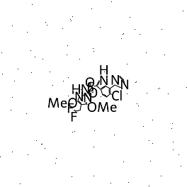 COc1nc(NS(=O)(=O)c2c[nH]c3c(-c4cnccn4)c(Cl)ccc23)nc(OC)c1CC(F)F